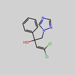 OC(C=C(Cl)Cl)(Cn1cncn1)c1ccccc1